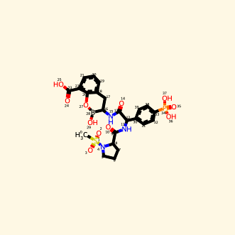 CS(=O)(=O)N1CCCC1C(=O)NC(C(=O)NC1Cc2cccc(C(=O)O)c2OB1O)c1ccc(P(=O)(O)O)cc1